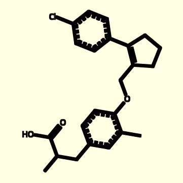 Cc1cc(CC(C)C(=O)O)ccc1OCC1=C(c2ccc(Cl)cc2)CCC1